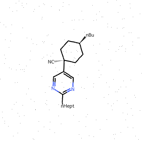 CCCCCCCc1ncc([C@]2(C#N)CC[C@H](CCCC)CC2)cn1